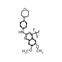 COc1cc2nc(Nc3ccc(N4CCOCC4)cc3)nc(C(F)(F)F)c2cc1OC